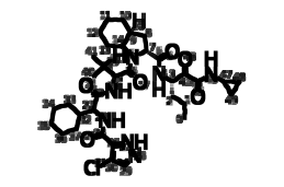 CCC[C@H](NC(=O)[C@@H]1C[C@@H]2CCCC[C@@H]2N1C(=O)[C@@H](NC(=O)C(NC(=O)c1[nH]ncc1Cl)C1CCCCC1)C(C)(C)C)C(=O)C(=O)NC1CC1